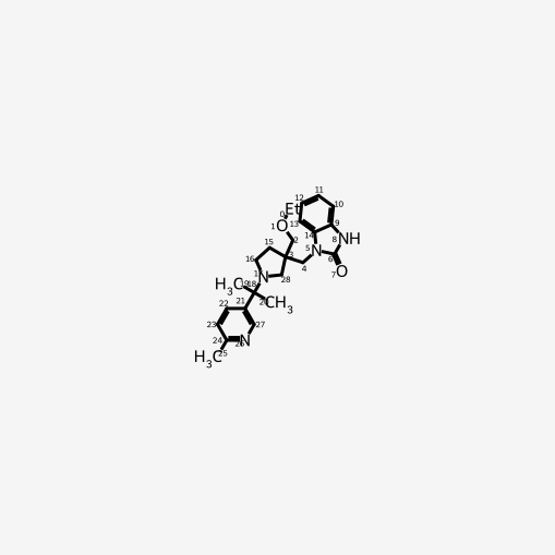 CCOCC1(Cn2c(=O)[nH]c3ccccc32)CCN(C(C)(C)c2ccc(C)nc2)C1